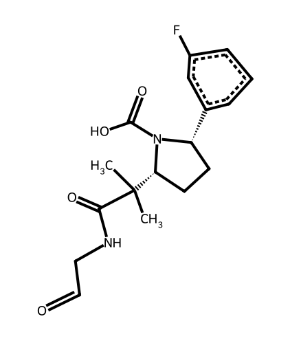 CC(C)(C(=O)NCC=O)[C@H]1CC[C@@H](c2cccc(F)c2)N1C(=O)O